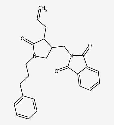 C=CCC1C(=O)N(CCCc2ccccc2)CC1CN1C(=O)c2ccccc2C1=O